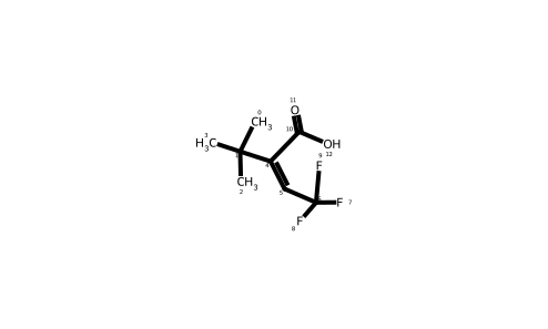 CC(C)(C)C(=CC(F)(F)F)C(=O)O